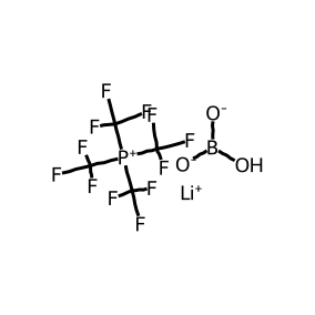 FC(F)(F)[P+](C(F)(F)F)(C(F)(F)F)C(F)(F)F.[Li+].[O-]B([O-])O